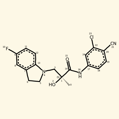 C[C@](O)(CN1CCc2cc(F)ccc21)C(=O)Nc1ccc(C#N)c(Cl)c1